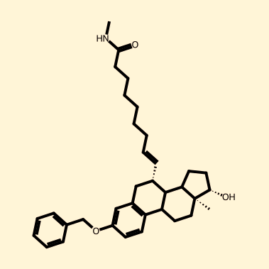 CNC(=O)CCCCCCC=C[C@H]1Cc2cc(OCc3ccccc3)ccc2C2CC[C@@]3(C)C(CC[C@@H]3O)C21